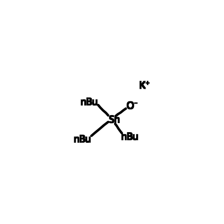 CCC[CH2][Sn]([O-])([CH2]CCC)[CH2]CCC.[K+]